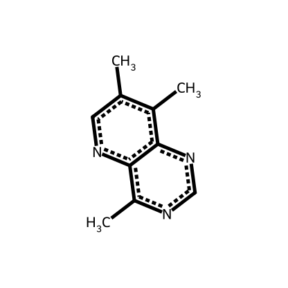 Cc1cnc2c(C)ncnc2c1C